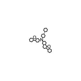 c1ccc(-c2ccc(N(c3ccc4c(ccc5c6ccccc6oc45)c3)c3ccc4c(c3)oc3ccccc34)cc2)cc1